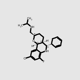 CC(C)NC[C@H]1CC[C@@H]2[C@H](O1)c1cc(Cl)cc(F)c1N[C@H]2C1C=CC=CC1